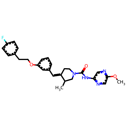 COc1cnc(NC(=O)N2CCC(=Cc3cccc(OCCc4ccc(F)cc4)c3)C(C)C2)cn1